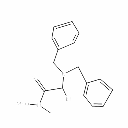 CCC(C(=O)N(C)OC)N(Cc1ccccc1)Cc1ccccc1